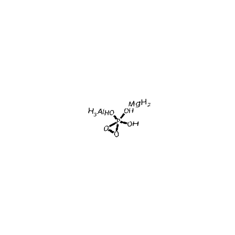 OP1(O)(O)OO1.[AlH3].[MgH2]